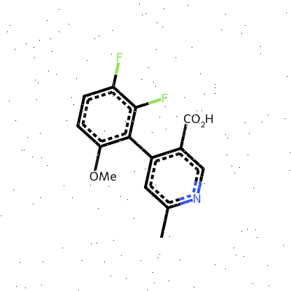 COc1ccc(F)c(F)c1-c1cc(C)ncc1C(=O)O